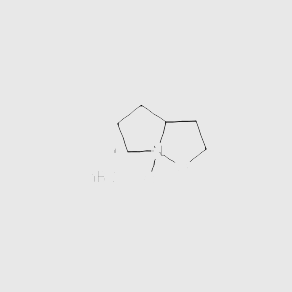 CC[CH][CH][C@@H]1CCC2CCO[N+]21[O-]